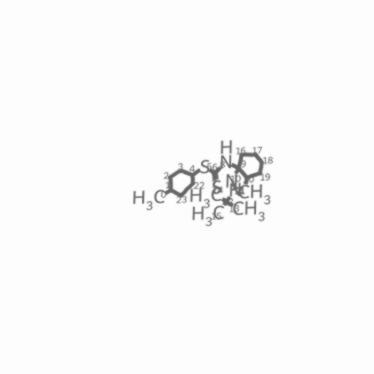 CC1CCC(SC(=S)NC2(N=NC(C)(C)C)CCCCC2C)CC1